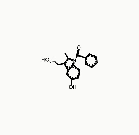 Cc1c(CC(=O)O)c2cc(O)ccc2n1C(=O)c1ccccc1